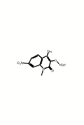 CCCCCCCCOc1c(O)c2ccc([N+](=O)[O-])cc2n(C)c1=O